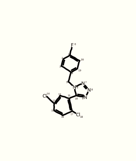 Fc1ccc(Cn2nnnc2-c2cc(Cl)ccc2Cl)cc1